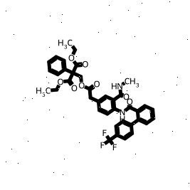 CCOC(=O)C(COC(=O)Cc1ccc(NC(=O)c2ccccc2-c2ccc(C(F)(F)F)cc2)c(C(=O)NC)c1)(C(=O)OCC)c1ccccc1